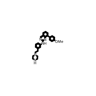 COc1ccc(-c2cccc3cnc(Nc4cccc(CCN5CCNCC5)c4)nc23)cc1